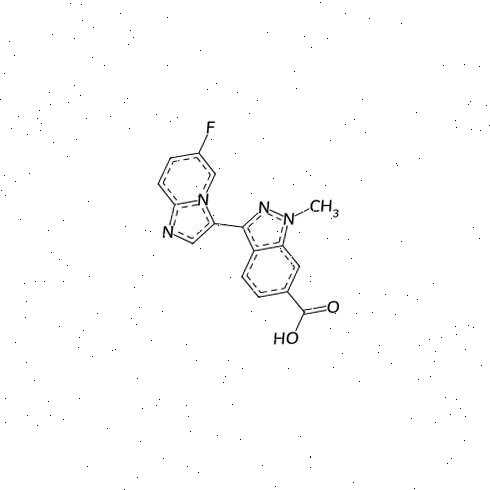 Cn1nc(-c2cnc3ccc(F)cn23)c2ccc(C(=O)O)cc21